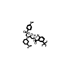 CSc1ccc(S(=O)(=O)CN(C(=O)CNC(=O)c2cc(C(F)(F)F)ccc2N)C2CCCC(N(C)C)C2)cc1